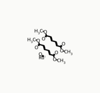 COC(=O)C=CC=CC(=O)OC.COC(=O)C=CC=CC(=O)OC.[C]=O.[Ru]